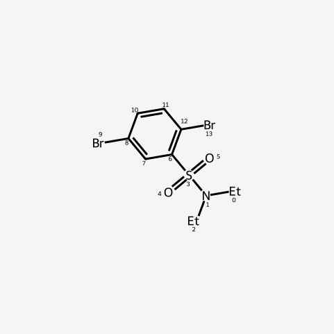 CCN(CC)S(=O)(=O)c1cc(Br)ccc1Br